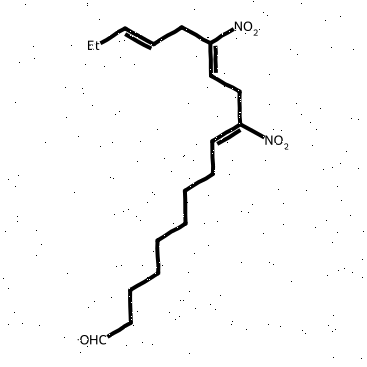 CCC=CCC(=CCC(=CCCCCCCC[C]=O)[N+](=O)[O-])[N+](=O)[O-]